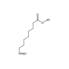 CCCCCCCCCCCCCCC(=O)OC(C)C